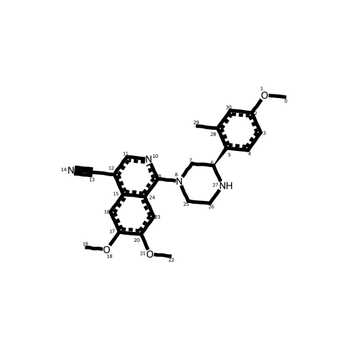 COc1ccc([C@@H]2CN(c3ncc(C#N)c4cc(OC)c(OC)cc34)CCN2)c(C)c1